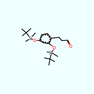 CC(C)(C)[Si](C)(C)Oc1ccc(CCC=O)c(O[Si](C)(C)C(C)(C)C)c1